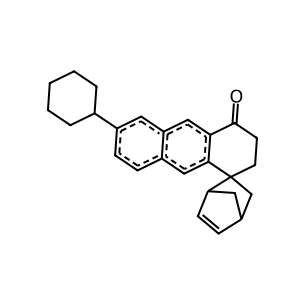 O=C1CCC2(CC3C=CC2C3)c2cc3ccc(C4CCCCC4)cc3cc21